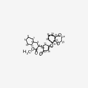 COC(=O)C(CC1CCCCC1)N1CC(Oc2cccc3c2OCCO3)=CC1=O